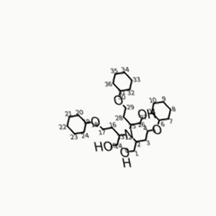 OCC(CCOC1CCCCC1)N(C(CO)CCOC1CCCCC1)C(CO)CCOC1CCCCC1